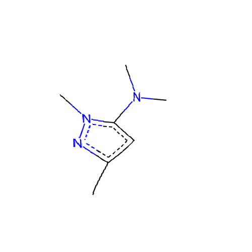 Cc1cc(N(C)C)n(C)n1